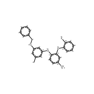 Cc1cc(OCc2ccccc2)cc(Oc2ccc(C(F)(F)F)cc2Oc2ccccc2F)c1